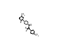 Cc1c#cc(C(F)(F)F)cc1N1CCN(C(=O)C2=C(c3ccc(C(F)(F)F)cc3)C2(F)F)CC1